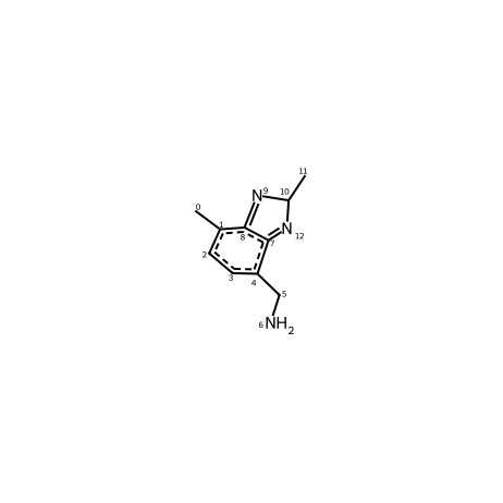 Cc1ccc(CN)c2c1=NC(C)N=2